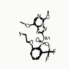 COc1cnc(OC)n2nc(NS(=O)(=O)c3c(OCCF)cccc3C(F)(F)F)nc12